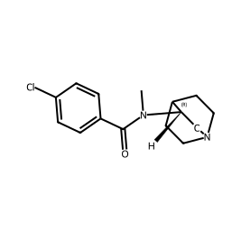 CN(C(=O)c1ccc(Cl)cc1)[C@H]1CN2CCC1CC2